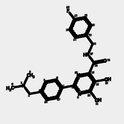 CN(C)Cc1ccc(-c2nc(O)c(O)c(C(=O)NCc3ccc(F)cc3)n2)cc1